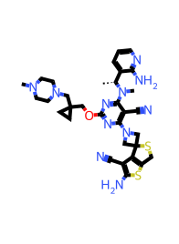 C[C@H](c1cccnc1N)N(C)c1nc(OCC2(CN3CCN(C)CC3)CC2)nc(N2CC3(C2)SCc2sc(N)c(C#N)c23)c1C#N